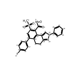 COC(=O)c1c(S(C)(=O)=O)cc(-c2ccc(F)cc2)c2c1-c1cn(-c3ccccc3)nc1CC2